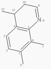 Cc1ccc2c(c1C)N=CCC2C